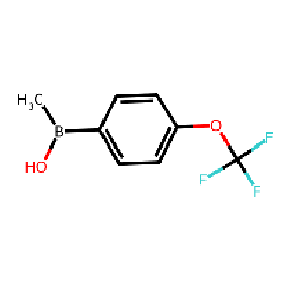 CB(O)c1ccc(OC(F)(F)F)cc1